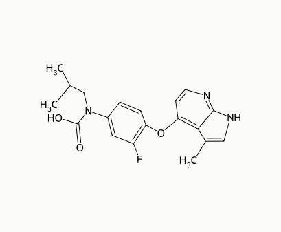 Cc1c[nH]c2nccc(Oc3ccc(N(CC(C)C)C(=O)O)cc3F)c12